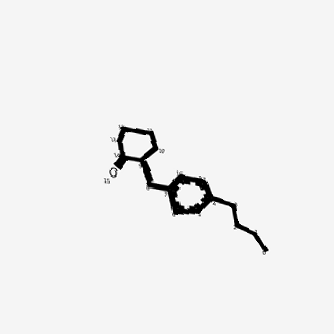 CCCCc1ccc(C=C2CCCCC2=O)cc1